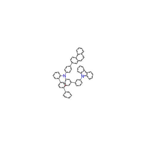 c1ccc(-c2ccc(-c3ccccc3N(c3ccc(-c4ccc5c(ccc6ccccc65)c4)cc3)c3cccc(-c4cccc(-n5c6ccccc6c6ccccc65)c4)c3)cc2)cc1